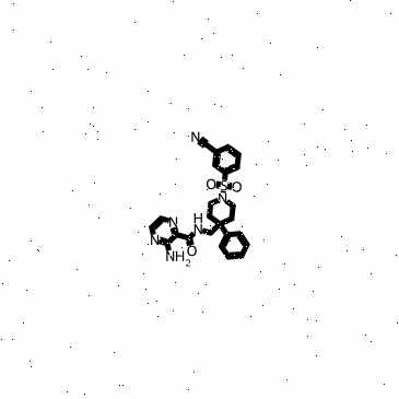 N#Cc1cccc(S(=O)(=O)N2CCC(CNC(=O)c3nccnc3N)(c3ccccc3)CC2)c1